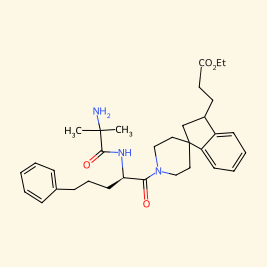 CCOC(=O)CCC1CC2(CCN(C(=O)[C@@H](CCCc3ccccc3)NC(=O)C(C)(C)N)CC2)c2ccccc21